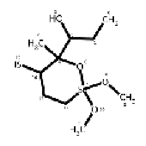 CCC(O)C1(C)O[Si](OC)(OC)CCC1S